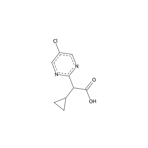 O=C(O)C(c1ncc(Cl)cn1)C1CC1